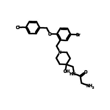 NCC(=O)NCC1(O)CCN(Cc2cc(Br)ccc2OCc2ccc(Cl)cc2)CC1